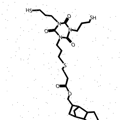 O=C(CCSCCCn1c(=O)n(CCCS)c(=O)n(CCCS)c1=O)OCC1CC2CC1C1CCCC21